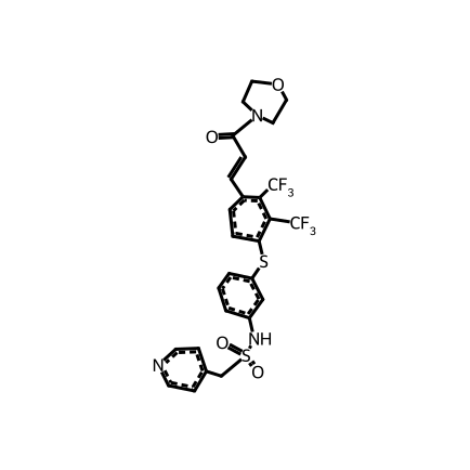 O=C(C=Cc1ccc(Sc2cccc(NS(=O)(=O)Cc3ccncc3)c2)c(C(F)(F)F)c1C(F)(F)F)N1CCOCC1